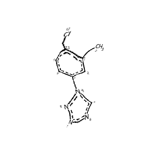 Cc1cc(-n2[c]nnn2)ccc1Cl